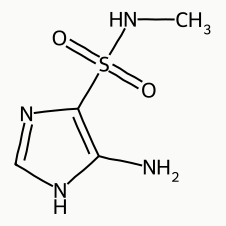 CNS(=O)(=O)c1nc[nH]c1N